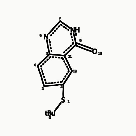 CC(C)(C)Sc1ccc2nc[nH]c(=O)c2c1